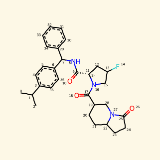 CC(C)c1ccc(C(NC(=O)[C@@H]2CC(F)CN2C(=O)C2CCC3CCC(=O)N3C2)c2ccccc2)cc1